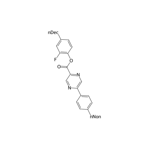 CCCCCCCCCCc1ccc(OC(=O)c2cnc(-c3ccc(CCCCCCCCC)cc3)cn2)c(F)c1